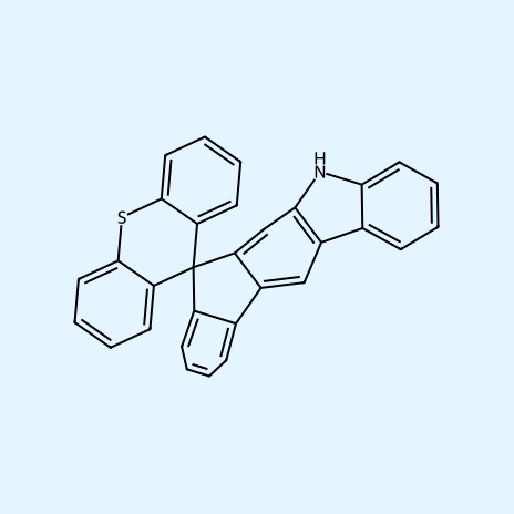 c1ccc2c(c1)Sc1ccccc1C21c2ccccc2-c2cc3c(cc21)[nH]c1ccccc13